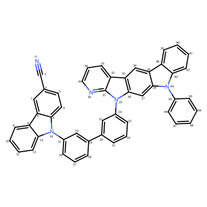 N#Cc1ccc2c(c1)c1ccccc1n2-c1cccc(-c2cccc(-n3c4cc5c(cc4c4cccnc43)c3ccccc3n5-c3ccccc3)c2)c1